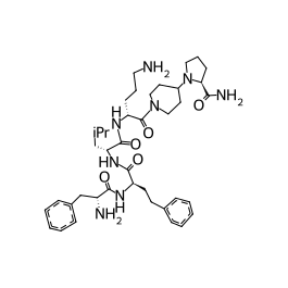 CC(C)C[C@@H](NC(=O)[C@@H](CCc1ccccc1)NC(=O)[C@H](N)Cc1ccccc1)C(=O)N[C@H](CCCN)C(=O)N1CCC(N2CCC[C@H]2C(N)=O)CC1